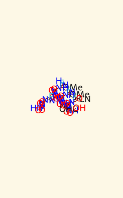 COc1ncc(F)c2c1CC(CNCCC1CN(c3ccc4c(n3)NC(=O)CO4)C(=O)O1)C2.COc1ncc(F)c2c1CC(CNCCC1CN(c3cnc4c(n3)NC(=O)CO4)C(=O)O1)C2.Cc1ncc(F)c2c1CC(CN1CCC3(CC1)CN(c1ccc4c(n1)NC(=O)CO4)C(=O)O3)C2.N#CCOc1cc(F)c2c(c1)CC(CNCCC1CN(c3ccc4c(n3)NC(=O)CO4)C(=O)O1)C2.O=CO